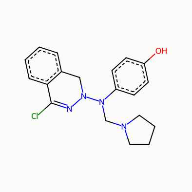 Oc1ccc(N(CN2CCCC2)N2Cc3ccccc3C(Cl)=N2)cc1